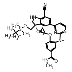 CNC(=O)c1ccc(OC2CC2)c(Nc2nccc(-c3cc(C#N)c4c(c3)[C@@](C)(CO[Si](C)(C)C(C)(C)C)CN4)n2)c1